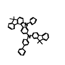 CC1(C)c2ccccc2-c2ccc(N(c3ccc(-c4ccccc4)cc3)c3ccc4c5c6c(ccc5n(-c5ccccc5)c4c3)C(C)(C)c3ccccc3-6)cc21